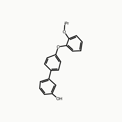 CC(C)Oc1ccccc1Oc1ccc(-c2cccc(O)c2)cc1